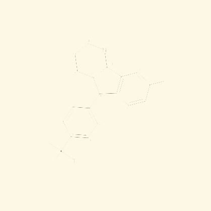 FC(F)(F)c1ccc(C2c3ccc(Cl)cc3C3NCCCC32)cc1